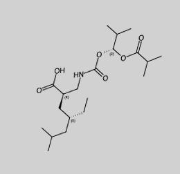 CC[C@H](CC(C)C)C[C@H](CNC(=O)O[C@@H](OC(=O)C(C)C)C(C)C)C(=O)O